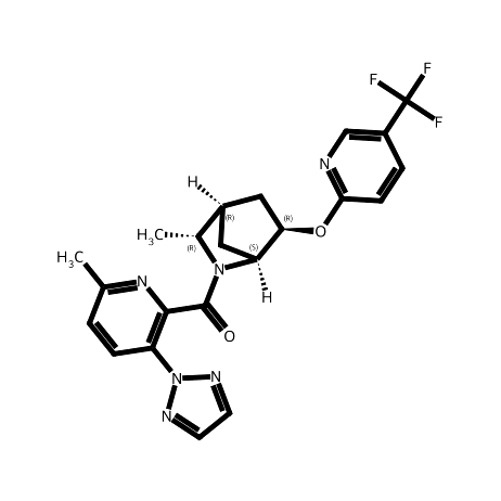 Cc1ccc(-n2nccn2)c(C(=O)N2[C@H](C)[C@H]3C[C@@H](Oc4ccc(C(F)(F)F)cn4)[C@@H]2C3)n1